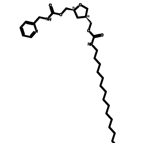 CCCCCCCCCCCCCCCNC(=O)OC[C@H]1CO[C@H](COC(=O)NCc2ccccn2)C1